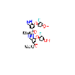 COC(=O)c1cc(Oc2ccc(O)cc2F)c2c(cnn2C)c1.COC(=O)c1cc(Oc2ccc(O)cc2F)c2c(cnn2C)c1